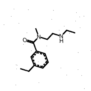 CCNCCN(C)C(=O)c1cccc(CC)c1